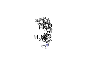 C/C=C\C[C@H](C)C[S@](N)(=O)=NC(=O)c1ccc2c(c1)NC[C@@]1(CCCc3cc(C)ccc31)CO2